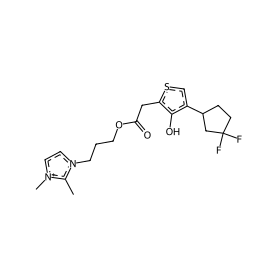 Cc1n(CCCOC(=O)Cc2scc(C3CCC(F)(F)C3)c2O)cc[n+]1C